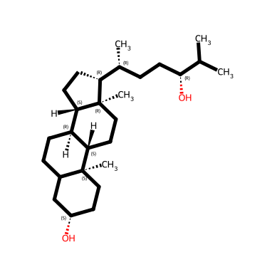 CC(C)[C@H](O)CC[C@@H](C)[C@H]1CC[C@H]2[C@@H]3CCC4C[C@@H](O)CC[C@]4(C)[C@H]3CC[C@]12C